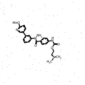 COc1ccc(-c2cccc(N(N)C(=O)c3ccc(NC(=O)OCCN(C)C)cc3)c2)cn1